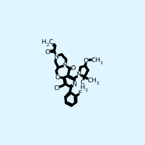 C=CC(=O)N1CCN2C(=O)c3c(N4CC(OC)CC4(C)C)nc(-c4ccccc4F)c(Cl)c3OCC2C1